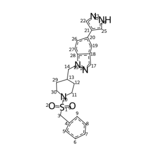 O=S(=O)(Cc1ccccc1)N1CCC(Cn2ncc3cc(-c4cn[nH]c4)ccc32)CC1